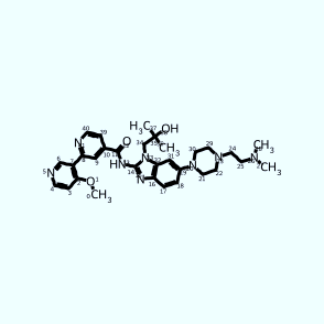 COc1ccncc1-c1cc(C(=O)Nc2nc3ccc(N4CCN(CCN(C)C)CC4)cc3n2CC(C)(C)O)ccn1